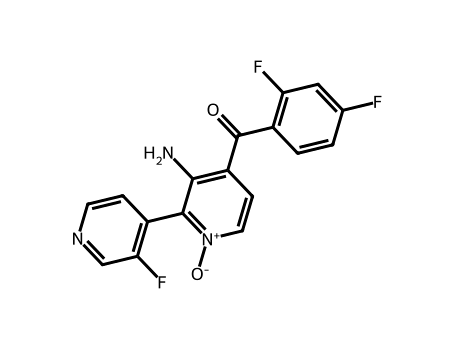 Nc1c(C(=O)c2ccc(F)cc2F)cc[n+]([O-])c1-c1ccncc1F